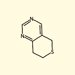 c1ncc2c(n1)CCSC2